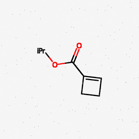 CC(C)OC(=O)C1=CCC1